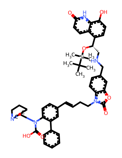 CC(C)(C)[Si](C)(C)O[C@@H](CNCc1ccc2c(c1)oc(=O)n2CCC=Cc1ccc(N(C(=O)O)C2CN3CCC2CC3)c(-c2ccccc2)c1)c1ccc(O)c2[nH]c(=O)ccc12